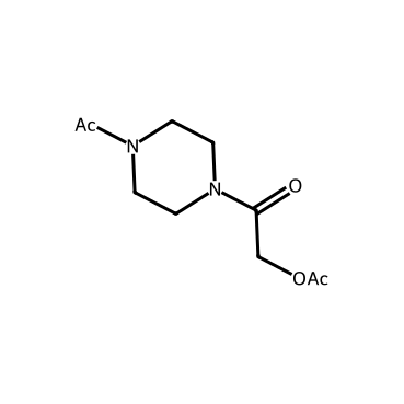 CC(=O)OCC(=O)N1CCN(C(C)=O)CC1